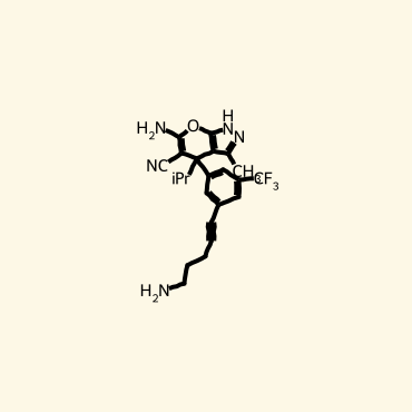 Cc1n[nH]c2c1C(c1cc(C#CCCCN)cc(C(F)(F)F)c1)(C(C)C)C(C#N)=C(N)O2